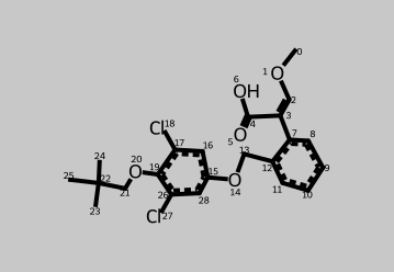 COC=C(C(=O)O)c1ccccc1COc1cc(Cl)c(OCC(C)(C)C)c(Cl)c1